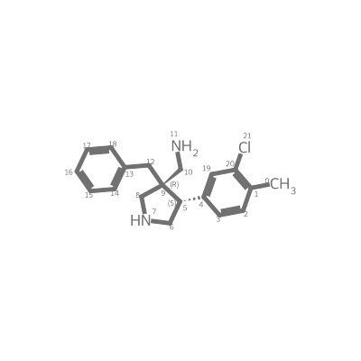 Cc1ccc([C@@H]2CNC[C@]2(CN)Cc2ccccc2)cc1Cl